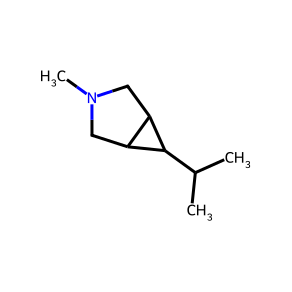 CC(C)C1C2CN(C)CC21